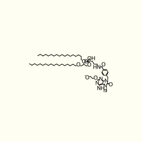 CCCCCCCCCCCCCCCCCCOCC(COP(=O)(O)CCCNC(=O)c1ccc(Cn2c(=O)[nH]c3c(N)nc(OCCOC)nc32)cc1)OCCCCCCCCCCCCCCCCCC